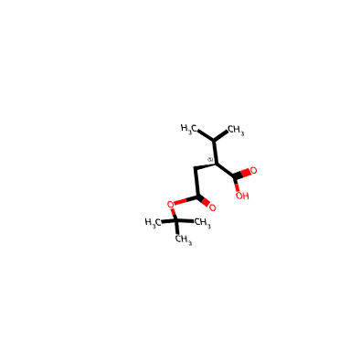 CC(C)[C@H](CC(=O)OC(C)(C)C)C(=O)O